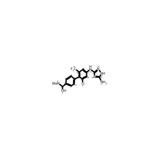 CNC(O)c1ccc(-c2c(Cl)cc(Nc3n[nH]c(N)n3)cc2C(F)(F)F)cc1